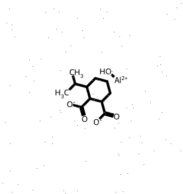 CC(C)C1CCCC(C(=O)[O-])C1C(=O)[O-].[OH][Al+2]